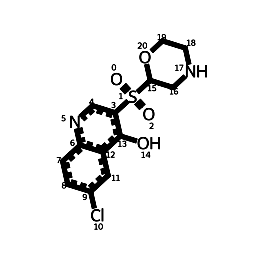 O=S(=O)(c1cnc2ccc(Cl)cc2c1O)C1CNCCO1